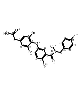 O=C(O)Cc1cc(Br)c(Oc2ccc(O)c(C(=O)N(Cl)Cc3ccc(F)cc3)c2)c(Br)c1